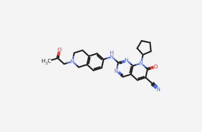 CC(=O)CN1CCc2cc(Nc3ncc4cc(C#N)c(=O)n(C5CCCC5)c4n3)ccc2C1